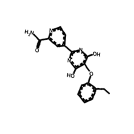 CCc1ccccc1Oc1c(O)nc(-c2ccnc(C(N)=O)c2)nc1O